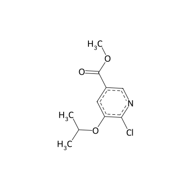 COC(=O)c1cnc(Cl)c(OC(C)C)c1